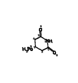 O=C1CCCC(=O)N1.[PoH2]